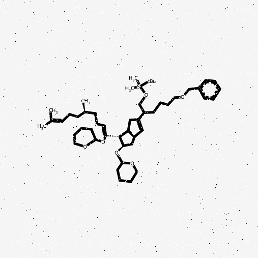 CC(C)=CCC[C@@H](C)CCC=C(OC1CCCCO1)[C@@H]1C2CC(C(CCCCOCc3ccccc3)CO[Si](C)(C)C(C)(C)C)=CC2C[C@H]1OC1CCCCO1